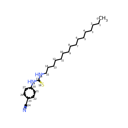 CCCCCCCCCCCCCCCCNC(=S)Nc1ccc(C#N)cc1